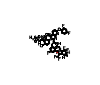 Cn1nc(NS(C)(=O)=O)c2c(Cl)ccc(-n3c([C@H](Cc4cc(F)cc(F)c4)NC(=O)Cn4nc(C(F)F)c5c4C(F)(F)[C@@H]4C[C@H]54)nc4nc(Oc5ccc(F)cc5F)ccc4c3=O)c21